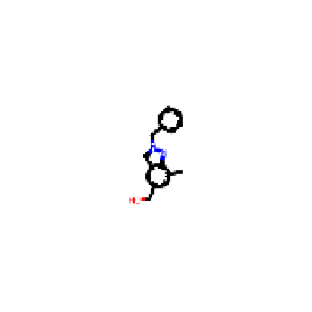 Cc1cc(CO)cc2cn(Cc3ccccc3)nc12